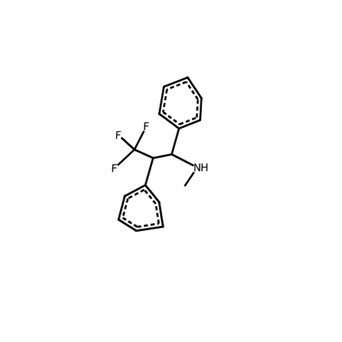 CNC(c1ccccc1)C(c1ccccc1)C(F)(F)F